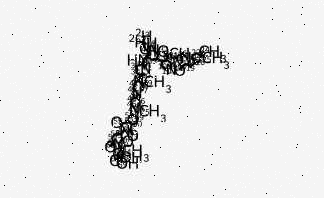 [2H]C([2H])([2H])Oc1ncc(-c2ccnc(N3CCn4c(cc5c4CC(C)(C)C5)C3=O)c2[C@@H](C)O)cc1Nc1ccc(N2CCN(C3CCN(c4ccc5c(c4)C(=O)N(C4CCC(=O)N(C(C)OP(=O)(O)O)C4=O)C5=O)[C@@H](C)C3)C[C@@H]2C)cn1